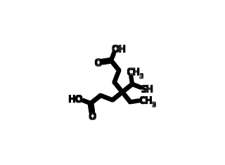 CCC(CCC(=O)O)(CCC(=O)O)C(C)S